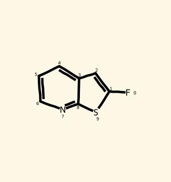 Fc1cc2cccnc2s1